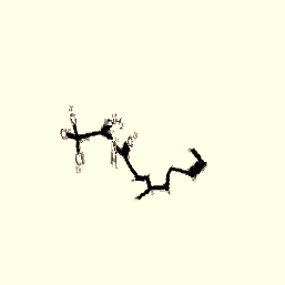 C/C=C\CCC(C)/C=C/C(=O)NC(N)C(Cl)(Cl)Cl